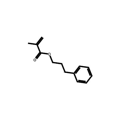 C=C(C)C(=O)OCC[CH]c1ccccc1